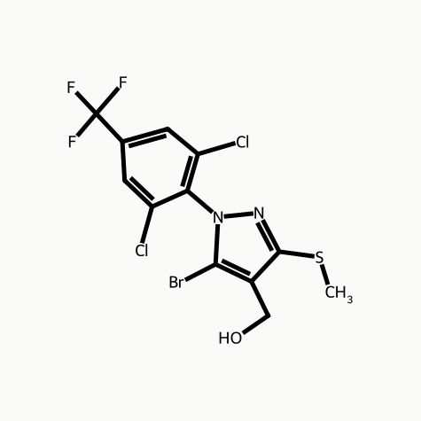 CSc1nn(-c2c(Cl)cc(C(F)(F)F)cc2Cl)c(Br)c1CO